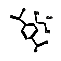 O=C([O-])c1ccc(C(=O)[O-])cc1.OCCO.[Ca+2]